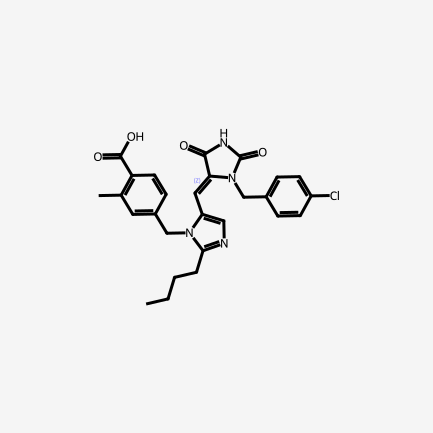 CCCCc1ncc(/C=C2/C(=O)NC(=O)N2Cc2ccc(Cl)cc2)n1Cc1ccc(C(=O)O)c(C)c1